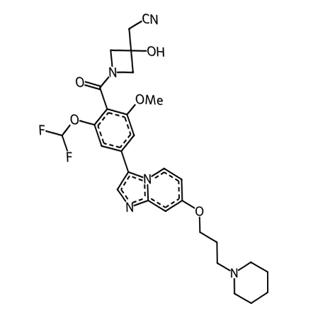 COc1cc(-c2cnc3cc(OCCCN4CCCCC4)ccn23)cc(OC(F)F)c1C(=O)N1CC(O)(CC#N)C1